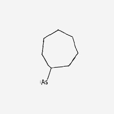 [As]C1CCCCCC1